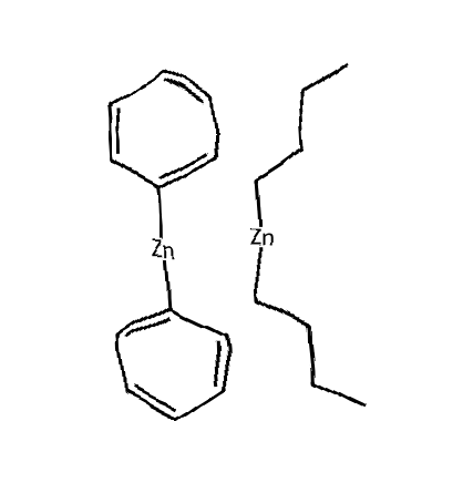 CCC[CH2][Zn][CH2]CCC.c1cc[c]([Zn][c]2ccccc2)cc1